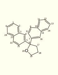 c1ccc2cc(C3(c4ccc5ccccc5c4)CCCO3)ccc2c1